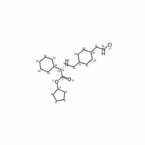 O=C(OC1CCCC1)[C@@H](NCC1CCC(CNCl)CC1)C1CCCCC1